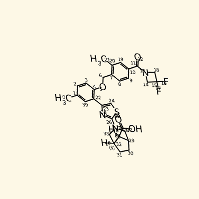 Cc1ccc(OCc2ccc(C(=O)N3CC(F)(F)C3)cc2C)c(-c2csc(N3CC4CC[C@H](C3)[C@@H]4C(=O)O)n2)c1